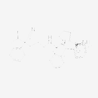 CC(C)C(C#N)(CCCNC(=O)[N@@+]1(C(c2ccccc2)c2ccccc2)CCCC1C(N)=O)c1ccccc1